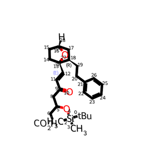 CC(C)(C)[Si](C)(C)OC(CC(=O)O)CC(=O)/C=C/[C@]12CC[C@H](C[C@H]1CCc1ccccc1)O2